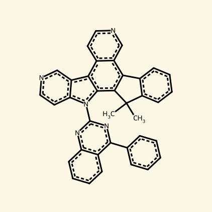 CC1(C)c2ccccc2-c2c1c1c(c3ccncc23)c2cnccc2n1-c1nc(-c2ccccc2)c2ccccc2n1